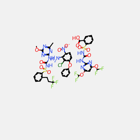 COc1nc(C)nc(NC(=O)NS(=O)(=O)c2ccccc2CCC(F)(F)F)n1.Nc1c([N+](=O)[O-])ccc(Oc2ccccc2)c1Cl.O=C(Nc1nc(OC(F)F)cc(OC(F)F)n1)NS(=O)(=O)c1ccccc1C(=O)O